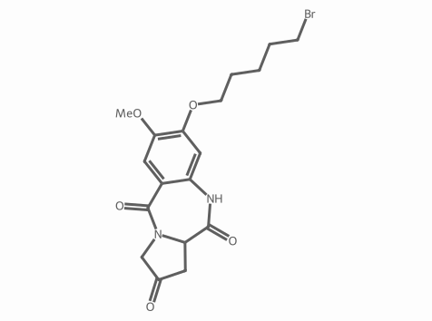 COc1cc2c(cc1OCCCCCBr)NC(=O)C1CC(=O)CN1C2=O